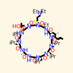 C/C=C/C[C@@H](C)C[C@@H]1C(=O)N[C@H](CC)C(=O)N(C)[C@H](SCCCN(CC)CC)C(=O)N(C)[C@@H](CC(C)(C)O)C(=O)N[C@@H](C(C)C)C(=O)N(C)[C@@H](CC(C)C)C(=O)N[C@@H](C)C(=O)N[C@@H](C)C(=O)N(C)[C@H](CC(C)C)C(=O)N(C)[C@H](CC(C)C)C(=O)N(C)[C@H](C(C)C)C(=O)N1C